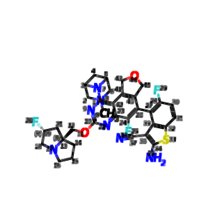 CN1CC2CC(C1)N2c1nc(OC[C@@]23CCCN2C[C@H](F)C3)nc2c(F)c(-c3c(F)ccc4sc(N)c(C#N)c34)c3c(c12)COC3